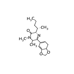 CCC[C@H](C)[C@@H]1N=C(C2=CCC3OCOC3=C2)C(C)N(C)C1=O